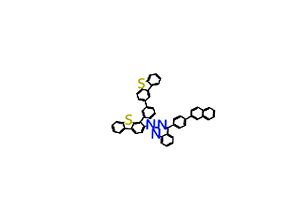 c1ccc2cc(-c3ccc(-c4nc(-n5c6ccc(-c7ccc8sc9ccccc9c8c7)cc6c6c7sc8ccccc8c7ccc65)nc5ccccc45)cc3)ccc2c1